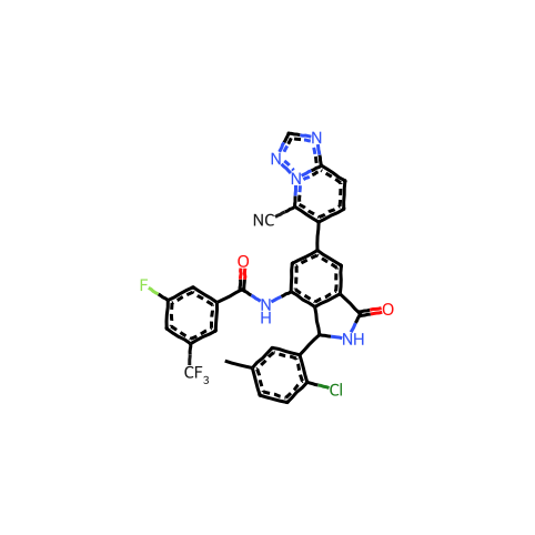 Cc1ccc(Cl)c(C2NC(=O)c3cc(-c4ccc5ncnn5c4C#N)cc(NC(=O)c4cc(F)cc(C(F)(F)F)c4)c32)c1